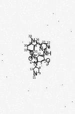 COc1cc(N(C)C2CCN(C)C2)c([N+](=O)[O-])cc1Nc1nccc(-c2cn(C)c3ccccc23)n1